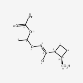 CC(ON=[N+]([O-])N1CC[C@H]1C(=O)O)OC(=O)C(C)C